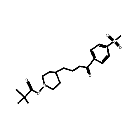 CC(C)(C)C(=O)ON1CCC(CCCC(=O)c2ccc(S(C)(=O)=O)cc2)CC1